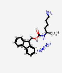 N=[N+]=N.NCCCCC(NC(=O)OCC1c2ccccc2-c2ccccc21)C(=O)O